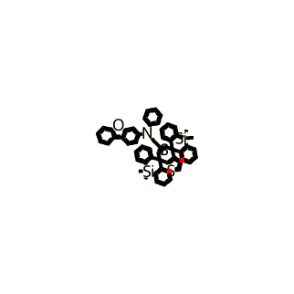 C[Si]1(C)c2ccccc2C2(c3ccccc31)c1cc(N(c3ccccc3)c3ccc4c(c3)oc3ccccc34)sc1C1(c3ccccc3[Si](C)(C)c3ccccc31)c1ccsc12